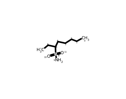 CCCCCC(CC)S(N)(=O)=O